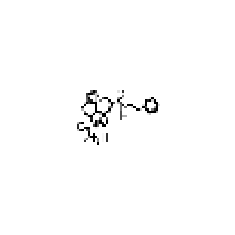 CN[C@@H](C)C(=O)N[C@H]1CCc2ccn3c2C1C(=O)C[C@H](C(=O)NCCc1ccccc1)C3